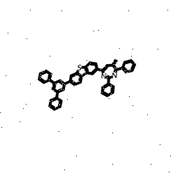 C=C1C=C(c2ccc3sc4cc(-c5cc(-c6ccccc6)cc(-c6ccccc6)c5)ccc4c3c2)N=C(c2ccccc2)N=C1c1ccccc1